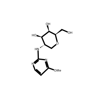 COc1ccnc(N[C@H]2CO[C@H](CO)[C@H](O)[C@@H]2O)n1